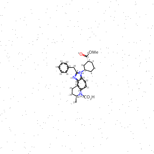 COC(=O)[C@@H]1CCC[C@@H](n2c(Cc3ccccc3)nc3c4c(ccc32)N(C(=O)O)[C@@H](C)CC4)C1